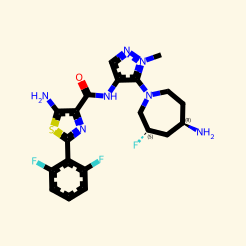 Cn1ncc(NC(=O)c2nc(-c3c(F)cccc3F)sc2N)c1N1CC[C@@H](N)C[C@H](F)C1